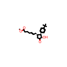 COC(=O)CCCC=CC[C@@H]1CC(=O)[C@@H](O)[C@@H]1c1ccc(C(C)(C)C)cc1